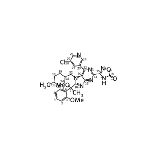 COc1ccccc1C(C)(OC)c1nc2nc(-c3noc(=O)[nH]3)nc(-c3cncc(Cl)c3)c2n1CC1CCC(C)CC1